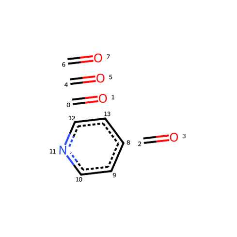 C=O.C=O.C=O.C=O.c1ccncc1